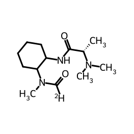 [2H]C(=O)N(C)C1CCCCC1NC(=O)[C@H](C)N(C)C